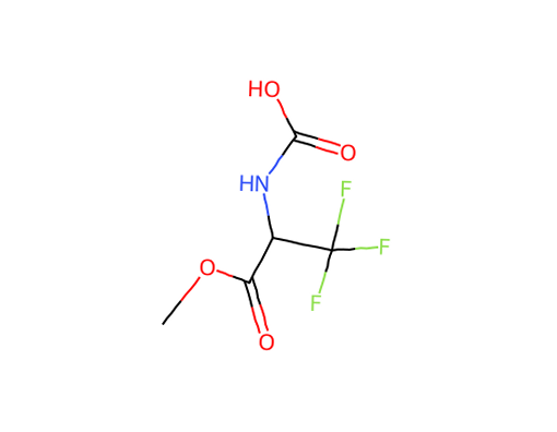 COC(=O)C(NC(=O)O)C(F)(F)F